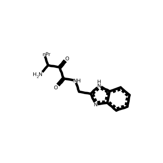 CCCC(N)C(=O)C(=O)NCc1nc2ccccc2[nH]1